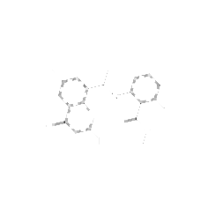 COC(=O)c1c(F)cccc1NC(C)c1cc(C)cc2c(=O)cc(Br)oc12